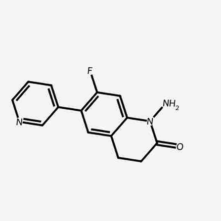 NN1C(=O)CCc2cc(-c3cccnc3)c(F)cc21